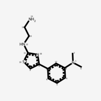 CN(C)c1cccc(-c2csc(NCCN)n2)c1